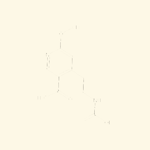 COc1cc(CCNC(=O)O)c(C(C)=O)cn1